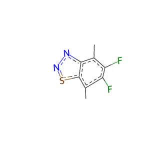 Cc1c(F)c(F)c(C)c2snnc12